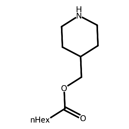 CCCCCCC(=O)OCC1CCNCC1